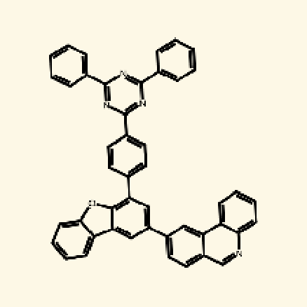 c1ccc(-c2nc(-c3ccccc3)nc(-c3ccc(-c4cc(-c5ccc6cnc7ccccc7c6c5)cc5c4oc4ccccc45)cc3)n2)cc1